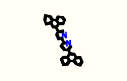 c1ccc2c(c1)cc(-c1ccc(-c3ccc(-c4cc5ccccc5c5ccccc45)cn3)nc1)c1ccccc12